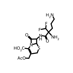 CC(=O)OCC1=C(C(=O)O)N2C(=O)C(NC(=O)C(N)(CCCN)C(F)F)C2SC1